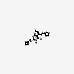 O=c1cc(CCC2CCCC2)c2c(=O)[nH]c(ON=C3CCC3)nc2o1